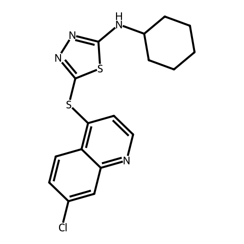 Clc1ccc2c(Sc3nnc(NC4CCCCC4)s3)ccnc2c1